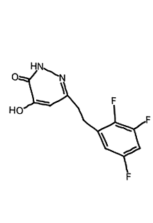 O=c1[nH]nc(CCc2cc(F)cc(F)c2F)cc1O